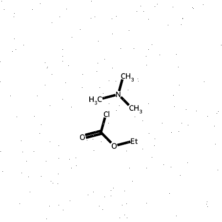 CCOC(=O)Cl.CN(C)C